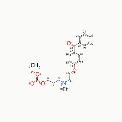 C=COC(=O)OCCCN(CC)CCOc1ccc(C(=O)c2ccccc2)cc1